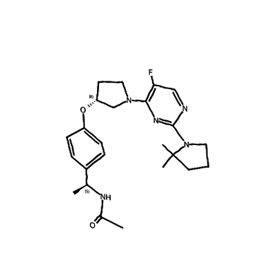 CC(=O)N[C@@H](C)c1ccc(O[C@@H]2CCN(c3nc(N4CCCC4(C)C)ncc3F)C2)cc1